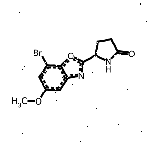 COc1cc(Br)c2oc(C3CCC(=O)N3)nc2c1